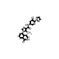 Cc1c(C(=O)Nc2cnc(-n3nccn3)c(Cl)c2)ncn1-c1cccc2c(=O)[nH]ccc12